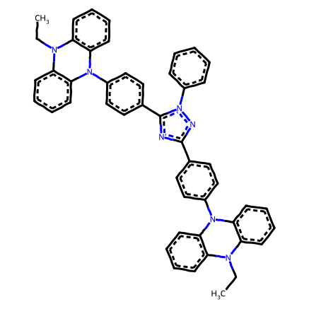 CCN1c2ccccc2N(c2ccc(-c3nc(-c4ccc(N5c6ccccc6N(CC)c6ccccc65)cc4)n(-c4ccccc4)n3)cc2)c2ccccc21